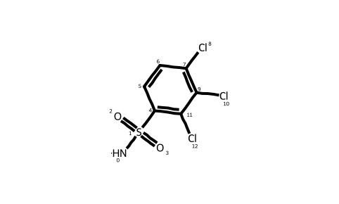 [NH]S(=O)(=O)c1ccc(Cl)c(Cl)c1Cl